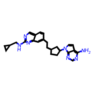 Nc1ncnc2c1ccn2C1CCC(CCc2ccc3cnc(NCC4CC4)nc3c2)C1